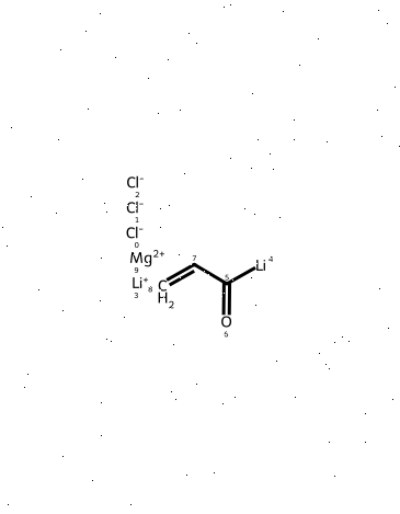 [Cl-].[Cl-].[Cl-].[Li+].[Li][C](=O)C=C.[Mg+2]